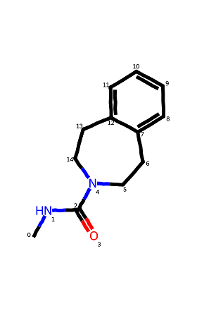 CNC(=O)N1CCc2ccccc2CC1